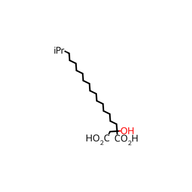 CC(C)CCCCCCCCCCCCCCCC(O)(CC(=O)O)C(=O)O